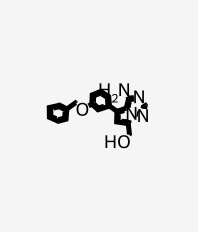 Nc1ncnn2c(CO)cc(-c3cccc(OCc4ccccc4)c3)c12